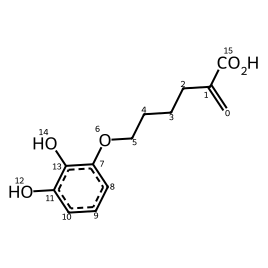 C=C(CCCCOc1cccc(O)c1O)C(=O)O